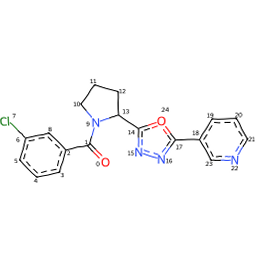 O=C(c1cccc(Cl)c1)N1CCCC1c1nnc(-c2cccnc2)o1